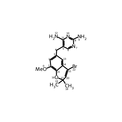 COc1cc(Cc2cnc(N)nc2N)cc2c1OC(C)(C)C=C2Br